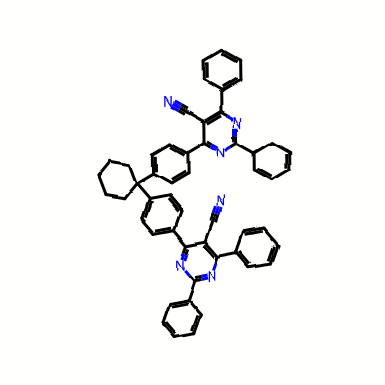 N#Cc1c(-c2ccccc2)nc(-c2ccccc2)nc1-c1ccc(C2(c3ccc(-c4nc(C5C=CC=CC5)nc(-c5ccccc5)c4C#N)cc3)CCCCC2)cc1